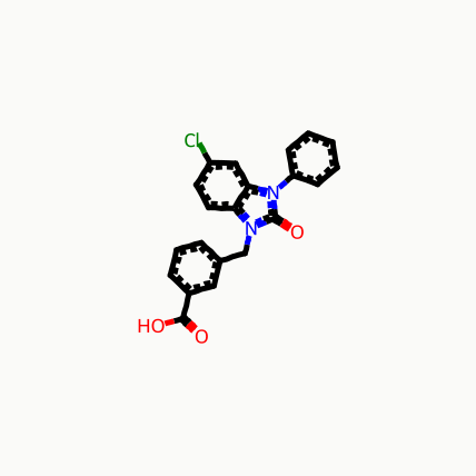 O=C(O)c1cccc(Cn2c(=O)n(-c3ccccc3)c3cc(Cl)ccc32)c1